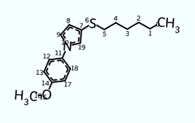 CCCCCCSc1ccn(-c2ccc(OC)cc2)c1